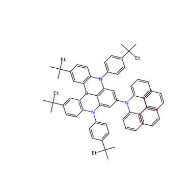 CCC(C)(C)c1ccc(N2c3ccc(C(C)(C)CC)cc3B3c4cc(C(C)(C)CC)ccc4N(c4ccc(C(C)(C)CC)cc4)c4cc(N(c5ccccc5-c5ccccc5)c5ccccc5-c5ccccc5)cc2c43)cc1